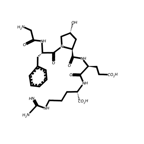 N=C(N)NCCC[C@H](NC(=O)[C@H](CCC(=O)O)NC(=O)[C@@H]1C[C@@H](O)CN1C(=O)[C@H](Cc1ccccc1)NC(=O)CN)C(=O)O